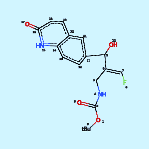 CC(C)(C)OC(=O)NC/C(=C\F)C(O)c1ccc2[nH]c(=O)ccc2c1